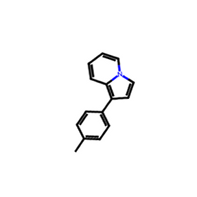 Cc1ccc(-c2ccn3ccccc23)cc1